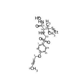 CC#CCOc1ccc(S(=O)(=O)CNC(C(=O)NO)C(C)(C)SCC)cc1